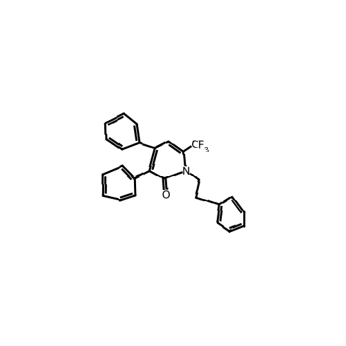 O=c1c(-c2ccccc2)c(-c2ccccc2)cc(C(F)(F)F)n1CCc1ccccc1